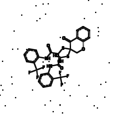 O=C(Nc1ccccc1C(F)(F)F)C(O)SC1(SC(O)C(=O)Nc2ccccc2C(F)(F)F)COc2ccccc2C1=O